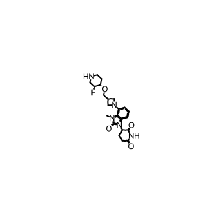 Cn1c(=O)n(C2CCC(=O)NC2=O)c2cccc(N3CC(CO[C@H]4CCNC[C@@H]4F)C3)c21